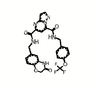 O=C1COc2ccc(CNC(=O)c3cc(C(=O)NCc4ccc(OC(F)(F)F)cc4)n4nccc4n3)cc2N1